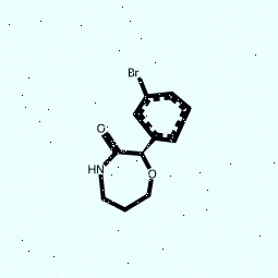 O=C1NCCCO[C@@H]1c1cccc(Br)c1